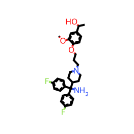 COc1cc(C(C)O)ccc1OCCCN1CCC(C(N)(c2ccc(F)cc2)c2ccc(F)cc2)CC1